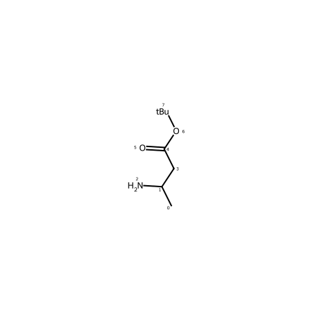 CC(N)CC(=O)OC(C)(C)C